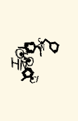 Cc1cc(NS(=O)(=O)c2cc(-c3sc(CC4CCCCC4)nc3C)ccc2C)ccc1Cl